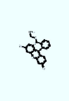 CCc1ccc2c(-c3ccccc3C(=O)OCOC(C)=O)c3ccc(=O)cc-3oc2c1